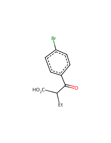 CCC(C(=O)O)C(=O)c1ccc(Br)cc1